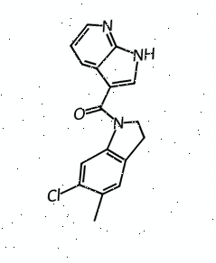 Cc1cc2c(cc1Cl)N(C(=O)c1c[nH]c3ncccc13)CC2